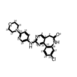 O=C1Cc2cnc(Nc3ccc(N4CCOCC4)nc3)nc2-c2ccc(Cl)cc2N1